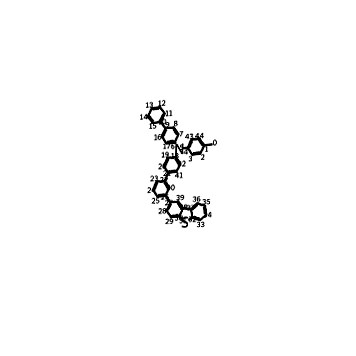 Cc1ccc(N(c2ccc(-c3ccccc3)cc2)c2ccc(-c3cccc(-c4ccc5sc6ccccc6c5c4)c3)cc2)cc1